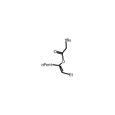 CCC=C(CCCCC)OC(=O)CC(C)(C)C